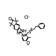 COc1cc[n+](-c2nc3cc4c(cc3[nH]2)C(C)(C)C(=O)C4(C)C)c(CSSCCc2ccccc2)c1C.[Cl-]